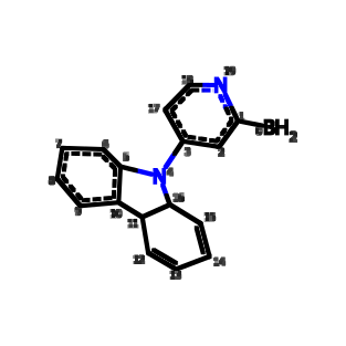 Bc1cc(N2c3ccccc3C3C=CC=CC32)ccn1